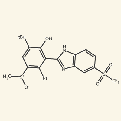 CCc1c([S+](C)[O-])cc(C(C)(C)C)c(O)c1-c1nc2cc(S(=O)(=O)C(F)(F)F)ccc2[nH]1